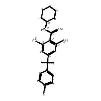 CC(C)(c1ccc(F)cc1)c1cc(O)c(C(=O)NC2CCCCC2)c(O)c1